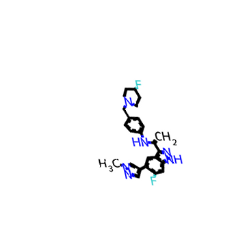 C=C(Nc1ccc(CN2CCC(F)CC2)cc1)c1n[nH]c2cc(F)c(-c3cnn(C)c3)cc12